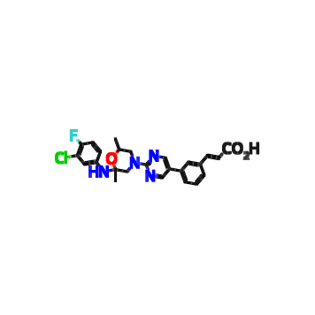 CC1CN(c2ncc(-c3cccc(C=CC(=O)O)c3)cn2)CC(C)(Nc2ccc(F)c(Cl)c2)O1